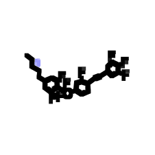 C/C=C/CCc1cc(F)c(C(F)(F)Oc2ccc(C#Cc3cc(F)c(F)c(F)c3)c(F)c2)c(F)c1